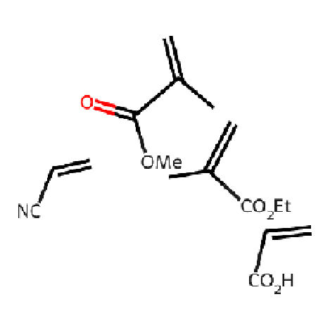 C=C(C)C(=O)OC.C=C(C)C(=O)OCC.C=CC#N.C=CC(=O)O